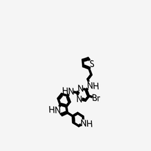 Brc1cnc(Nc2ccc3[nH]cc(C4=CCNCC4)c3c2)nc1NCCc1cccs1